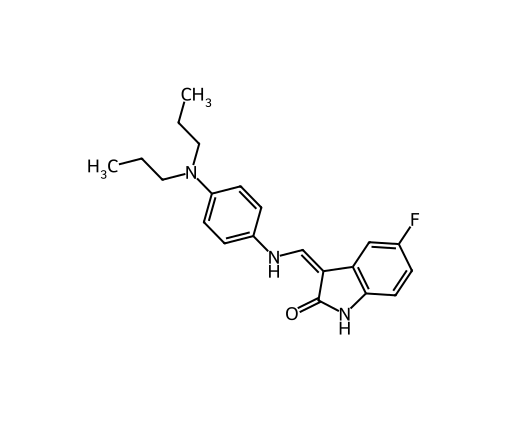 CCCN(CCC)c1ccc(NC=C2C(=O)Nc3ccc(F)cc32)cc1